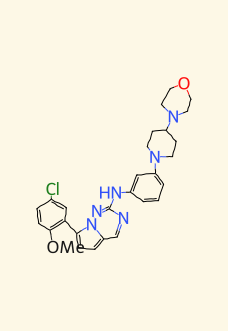 COc1ccc(Cl)cc1-c1ccc2cnc(Nc3cccc(N4CCC(N5CCOCC5)CC4)c3)nn12